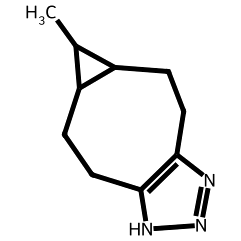 CC1C2CCc3nn[nH]c3CCC12